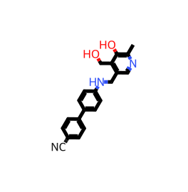 Cc1ncc(CNc2ccc(-c3ccc(C#N)cc3)cc2)c(CO)c1O